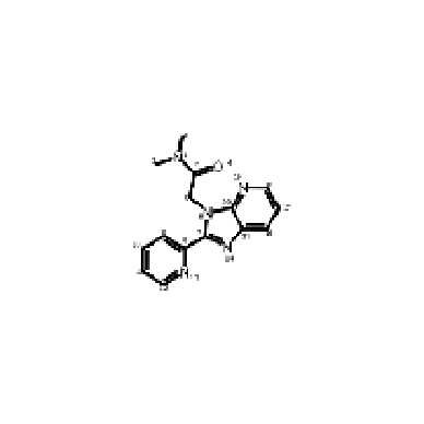 CN(C)C(=O)Cn1c(-c2ccccn2)nc2cccnc21